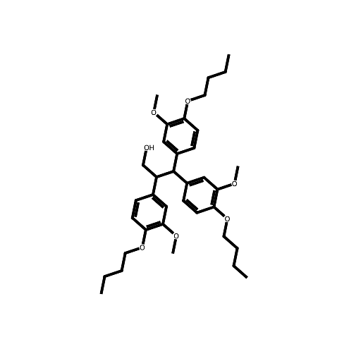 CCCCOc1ccc(C(CO)C(c2ccc(OCCCC)c(OC)c2)c2ccc(OCCCC)c(OC)c2)cc1OC